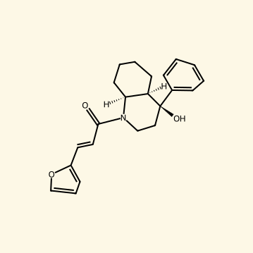 O=C(/C=C/c1ccco1)N1CC[C@@](O)(c2ccccc2)[C@@H]2CCCC[C@@H]21